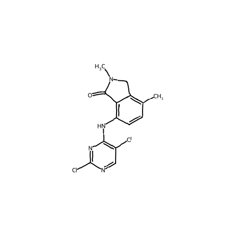 Cc1ccc(Nc2nc(Cl)ncc2Cl)c2c1CN(C)C2=O